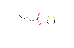 CCCCC(=O)O[C@H]1CCSS1